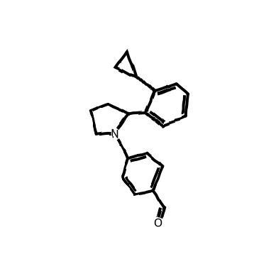 O=Cc1ccc(N2CCCC2c2ccccc2C2CC2)cc1